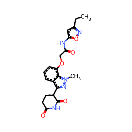 CCc1cc(NC(=O)COc2cccc3c(C4CCC(=O)NC4=O)nn(C)c23)on1